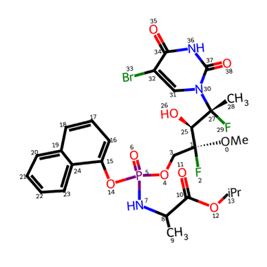 CO[C@](F)(COP(=O)(NC(C)C(=O)OC(C)C)Oc1cccc2ccccc12)[C@@H](O)[C@@](C)(F)n1cc(Br)c(=O)[nH]c1=O